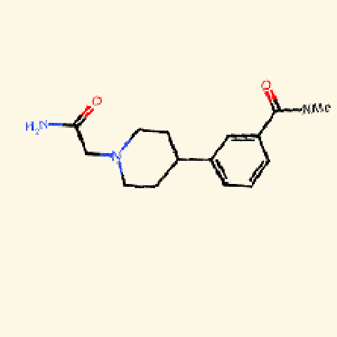 CNC(=O)c1cccc(C2CCN(CC(N)=O)CC2)c1